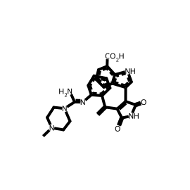 C=C(C1=C(c2c[nH]c3c(C(=O)O)cccc23)C(=O)NC1=O)c1ccccc1/N=C(\N)N1CCN(C)CC1